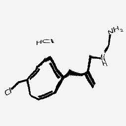 C=C(CNN)c1ccc(Cl)cc1.Cl